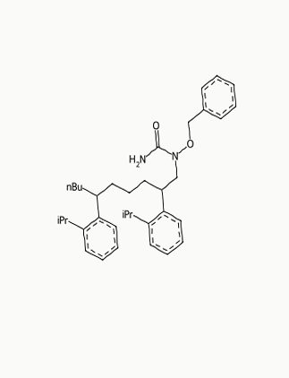 CCCCC(CCCC(CN(OCc1ccccc1)C(N)=O)c1ccccc1C(C)C)c1ccccc1C(C)C